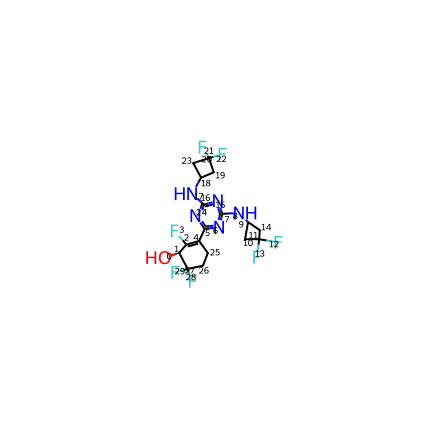 O[C@H]1C(F)=C(c2nc(NC3CC(F)(F)C3)nc(NC3CC(F)(F)C3)n2)CCC1(F)F